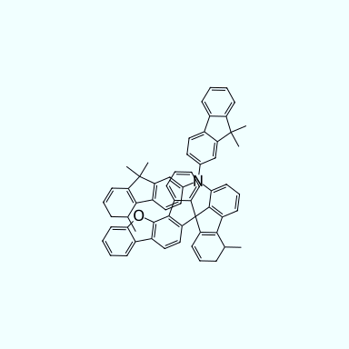 CC1CC=CC2=C1c1ccc(N(c3ccc4c(c3)C(C)(C)c3ccccc3-4)c3cccc4c3C3(C5=C4C(C)CC=C5)c4ccccc4-c4c3ccc3c4oc4ccccc43)cc1C2(C)C